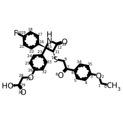 CCOc1ccc(C(=O)CS[C@H]2C(=O)N[C@@]2(c2ccc(F)cc2)c2ccc(OCC(=O)O)cc2)cc1